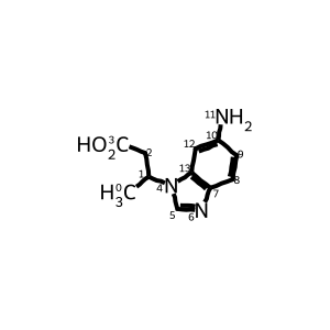 CC(CC(=O)O)n1cnc2ccc(N)cc21